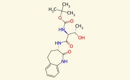 C[C@H](O)[C@H](NC(=O)OC(C)(C)C)C(=O)N[C@H]1CCc2ccccc2NC1=O